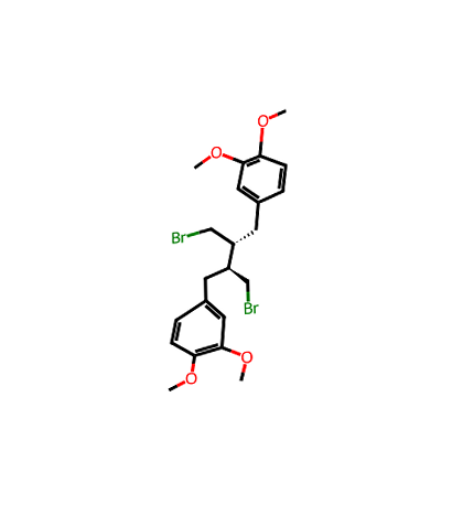 COc1ccc(C[C@@H](CBr)[C@@H](CBr)Cc2ccc(OC)c(OC)c2)cc1OC